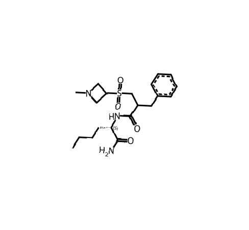 CCCC[C@H](NC(=O)C(Cc1ccccc1)CS(=O)(=O)C1CN(C)C1)C(N)=O